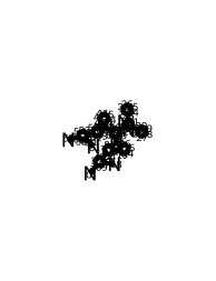 N#Cc1ccc(-c2ccc3c(c2)c2ccccc2n3-c2cc(-c3nc(-c4ccccc4)cc(-c4ccccc4)n3)cc(-n3c4ccccc4c4cc(-c5ccc(C#N)cc5C#N)ccc43)c2)c(C#N)c1